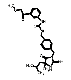 COCC(=O)c1cccc(NC(=O)NCc2ccc(CN3C(=N)NC(C)(CC(C)C)C3=O)cc2)c1